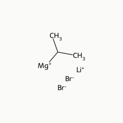 C[CH](C)[Mg+].[Br-].[Br-].[Li+]